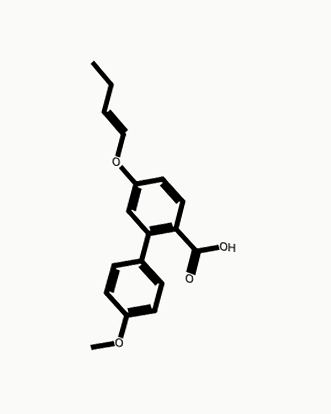 CCC=COc1ccc(C(=O)O)c(-c2ccc(OC)cc2)c1